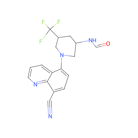 N#Cc1ccc(N2CC(NC=O)CC(C(F)(F)F)C2)c2cccnc12